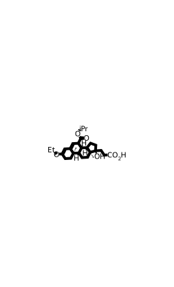 CCOC1=CC2=CC(C(=O)OC(C)C)[C@@H]3[C@H](CC[C@@]4(C)[C@H]3CC[C@]4(O)CCC(=O)O)[C@@]2(C)CC1